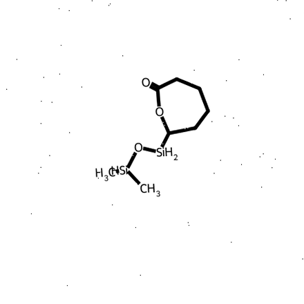 C[SiH](C)O[SiH2]C1CCCCC(=O)O1